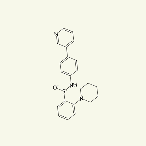 [O-][S+](Nc1ccc(-c2cccnc2)cc1)c1ccccc1N1CCCCC1